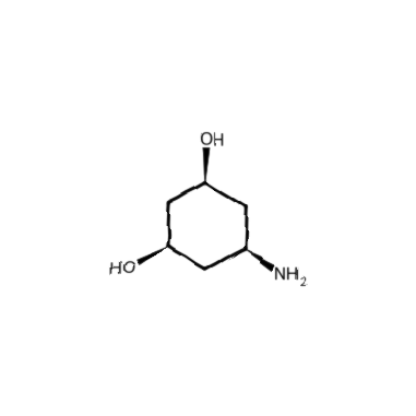 N[C@H]1C[C@@H](O)C[C@@H](O)C1